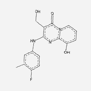 Cc1cc(Nc2nc3c(O)cccn3c(=O)c2CO)ccc1F